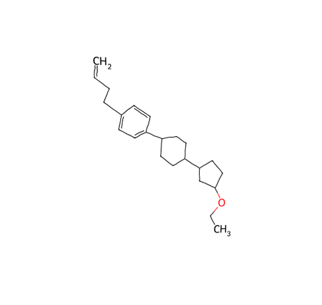 C=CCCc1ccc(C2CCC(C3CCC(OCC)C3)CC2)cc1